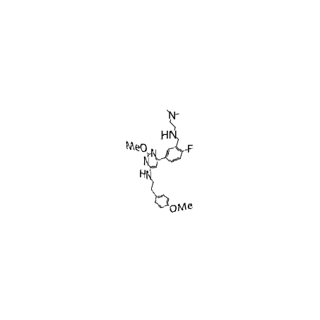 COc1ccc(CCNc2cc(-c3ccc(F)c(CNCCN(C)C)c3)nc(OC)n2)cc1